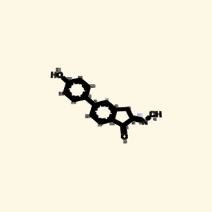 O=C1/C(=N/O)Cc2cc(-c3ccc(O)cc3)ccc21